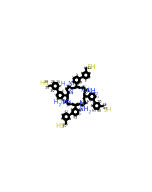 Nc1ccc(-c2cccc(CS)c2)cc1-c1c2nc(c(-c3cc(-c4cccc(CS)c4)ccc3N)c3ccc([nH]3)c(-c3cc(-c4cccc(CS)c4)ccc3N)c3nc(c(-c4cc(-c5cccc(CS)c5)ccc4N)c4ccc1[nH]4)C=C3)C=C2